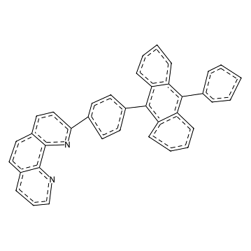 c1ccc(-c2c3ccccc3c(-c3ccc(-c4ccc5ccc6cccnc6c5n4)cc3)c3ccccc23)cc1